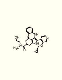 CN(CCO)C(=O)C1CC(=O)c2c([nH]c(-c3ccncc3OCC3CC3)c2Nc2ccccc2)C1